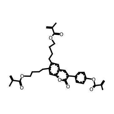 C=C(C)C(=O)OCCCCc1cc2cc(-c3ccc(OC(=O)C(=C)C)cc3)c(=O)oc2cc1CCCCOC(=O)C(=C)C